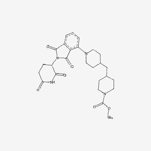 CC(C)(C)OC(=O)N1CCC(CC2CCN(c3cccc4c3C(=O)N(C3CCC(=O)NC3=O)C4=O)CC2)CC1